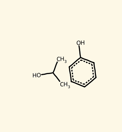 CC(C)O.Oc1ccccc1